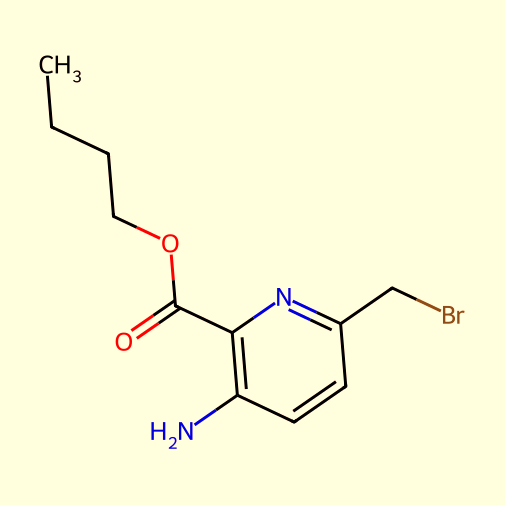 CCCCOC(=O)c1nc(CBr)ccc1N